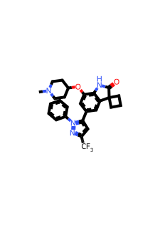 CN1CCC(Oc2cc(-c3cc(C(F)(F)F)nn3-c3ccccc3)cc3c2NC(=O)C32CCC2)CC1